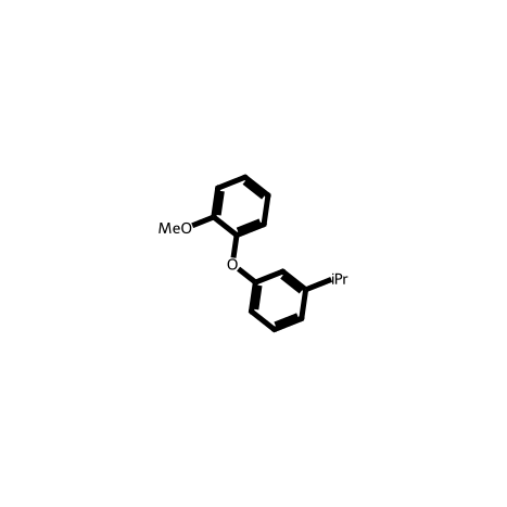 COc1ccccc1Oc1cccc(C(C)C)c1